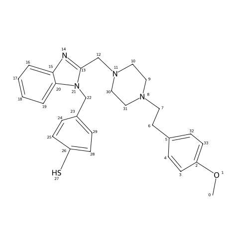 COc1ccc(CCN2CCN(Cc3nc4ccccc4n3Cc3ccc(S)cc3)CC2)cc1